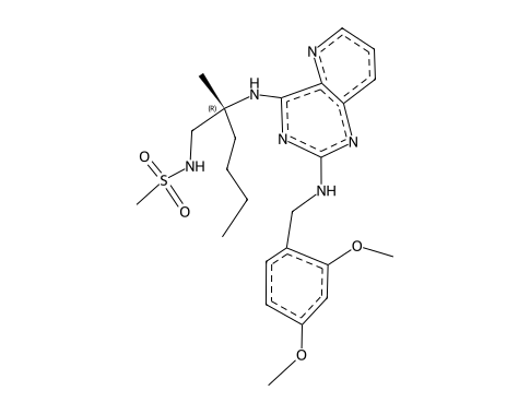 CCCC[C@](C)(CNS(C)(=O)=O)Nc1nc(NCc2ccc(OC)cc2OC)nc2cccnc12